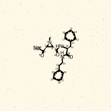 CN1[C@H](C(=O)[O-])[C@H]1C(=O)N[C@@H](Cc1ccccc1)C(=O)NCCc1ccccc1.[Na+]